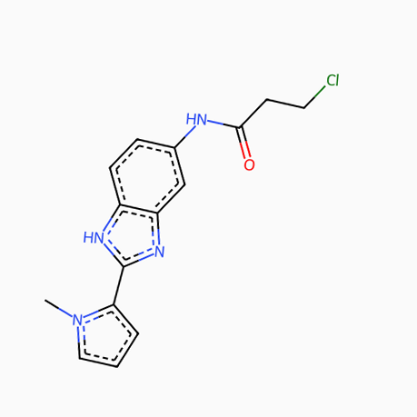 Cn1cccc1-c1nc2cc(NC(=O)CCCl)ccc2[nH]1